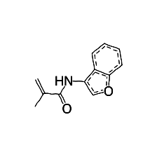 C=C(C)C(=O)Nc1coc2ccccc12